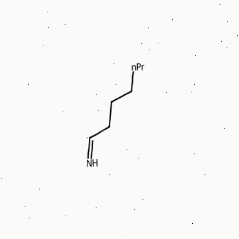 CCCCCC[C]=N